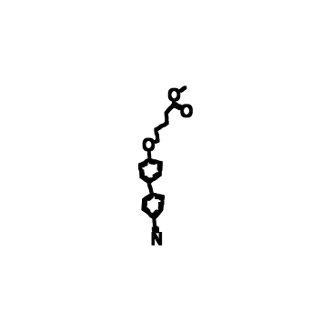 COC(=O)CCCCOc1ccc(-c2ccc(C#N)cc2)cc1